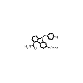 CCCCCc1c[c]c2c3c(C(N)=O)cccc3n(Cc3ccc(I)cc3)c2c1